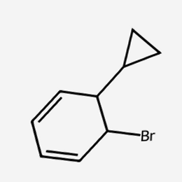 BrC1C=CC=CC1C1CC1